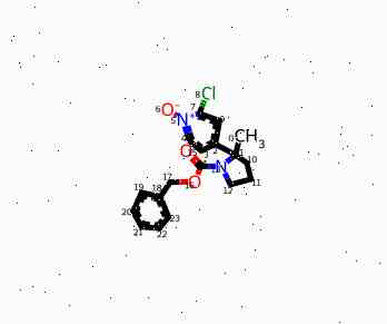 CC1(c2cc[n+]([O-])c(Cl)c2)CCCN1C(=O)OCc1ccccc1